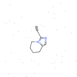 C#Cc1ncc2n1CCCC2